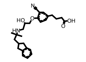 CC(C)(CC1Cc2ccccc2C1)NCC(O)COc1ccc(CCCC(=O)O)cc1C#N